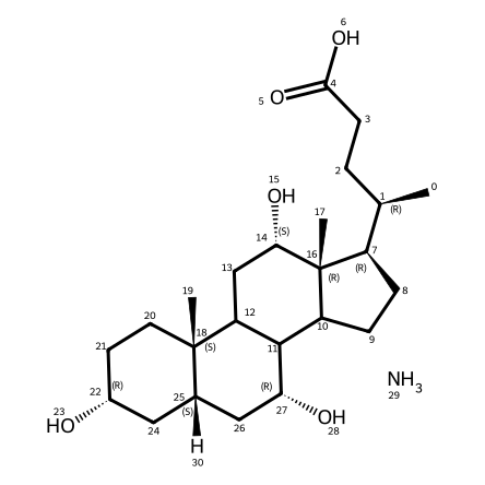 C[C@H](CCC(=O)O)[C@H]1CCC2C3C(C[C@H](O)[C@@]21C)[C@@]1(C)CC[C@@H](O)C[C@H]1C[C@H]3O.N